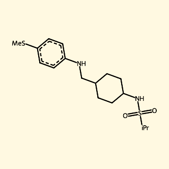 CSc1ccc(NCC2CCC(NS(=O)(=O)C(C)C)CC2)cc1